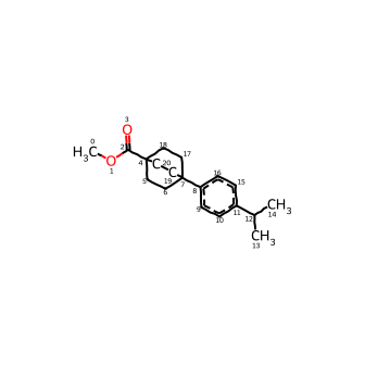 COC(=O)C12CCC(c3ccc(C(C)C)cc3)(CC1)CC2